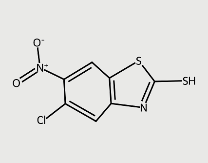 O=[N+]([O-])c1cc2sc(S)nc2cc1Cl